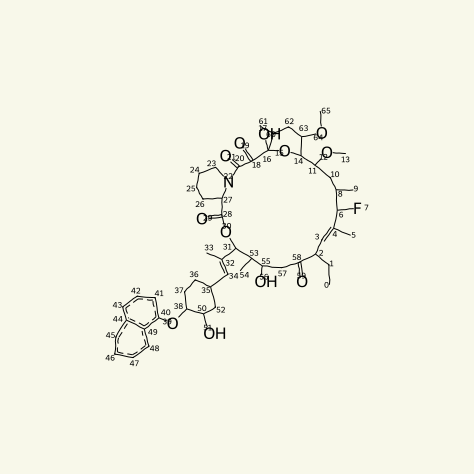 CCC1/C=C(\C)C(F)C(C)CC(OC)C2OC(O)(C(=O)C(=O)N3CCCCC3C(=O)OC(C(C)=CC3CCC(Oc4cccc5ccccc45)C(O)C3)C(C)C(O)CC1=O)C(C)CC2OC